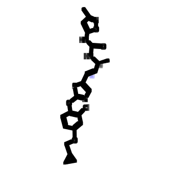 Cc1cc(NC(=O)N[C@@H](C)/C=C/c2cnc(Oc3ccc(OCC4CC4)cc3Cl)s2)on1